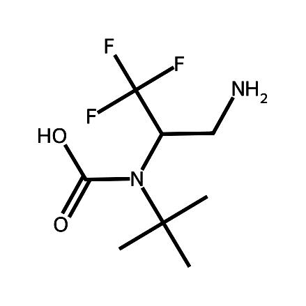 CC(C)(C)N(C(=O)O)C(CN)C(F)(F)F